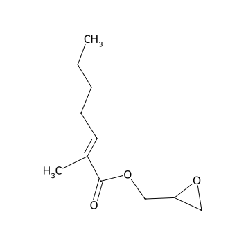 CCCCC=C(C)C(=O)OCC1CO1